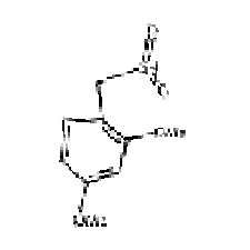 COc1ccc(C[SH](=O)=O)c(OC)c1